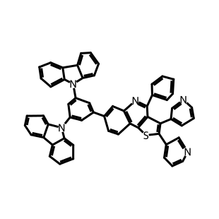 c1ccc(-c2nc3cc(-c4cc(-n5c6ccccc6c6ccccc65)cc(-n5c6ccccc6c6ccccc65)c4)ccc3c3sc(-c4cccnc4)c(-c4cccnc4)c23)cc1